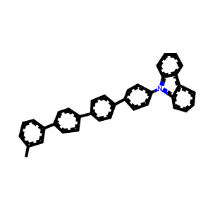 Cc1cccc(-c2ccc(-c3ccc(-c4ccc(-n5c6ccccc6c6ccccc65)cc4)cc3)cc2)c1